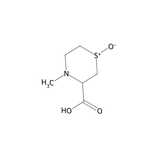 CN1CC[S+]([O-])CC1C(=O)O